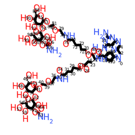 CN(Cc1cnc2nc(N)nc(N)c2n1)c1ccc(C(=O)N[C@H](CCC(=O)OCCCCCC(=O)NCCOCCOC2O[C@@H](CO)[C@@H](O)[C@H](O)[C@@H]2O[C@H]2O[C@H](CO)[C@@H](O)[C@H](OC(N)=O)[C@@H]2O)C(=O)OCCCCCC(=O)NCCOCCOC2O[C@H](CO)[C@H](O)[C@@H](O)[C@H]2O[C@@H]2O[C@@H](CO)[C@H](O)[C@@H](OC(N)=O)[C@H]2O)cc1